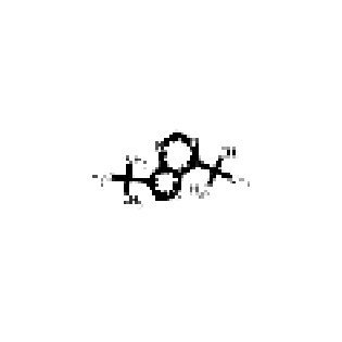 CC(C)(C)c1csc2c(C(C)(C)C)ncnc12